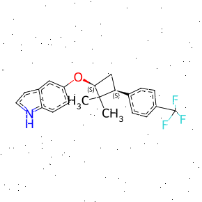 CC1(C)[C@@H](Oc2ccc3[nH]ccc3c2)C[C@H]1c1ccc(C(F)(F)F)cc1